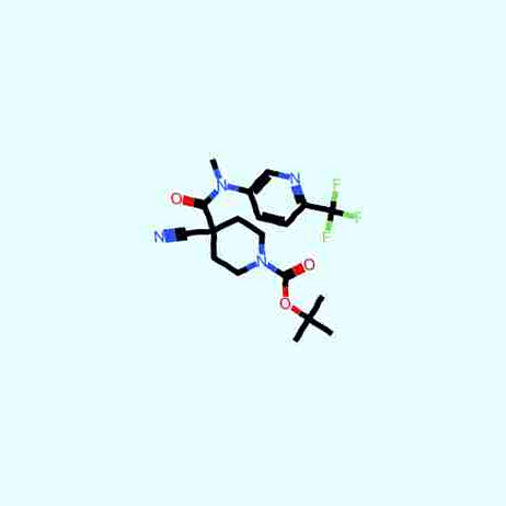 CN(C(=O)C1(C#N)CCN(C(=O)OC(C)(C)C)CC1)c1ccc(C(F)(F)F)nc1